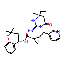 CC[C@]1(C)CC(=O)N([C@H](c2cccnc2)[C@@H]2C[C@H]2C(=O)N[C@H]2CC(C)(C)Oc3ccccc32)C(=N)N1